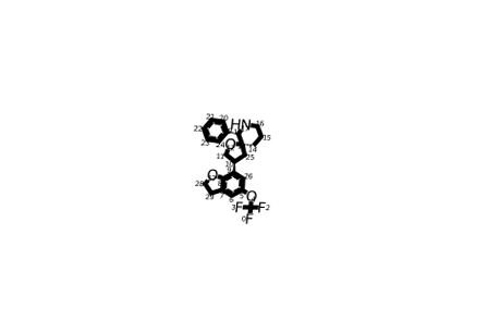 FC(F)(F)Oc1cc2c(c([C@H]3CO[C@]4(CCCN[C@H]4c4ccccc4)C3)c1)OCC2